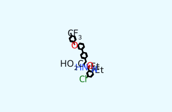 CCN(CC)c1ccc(Cl)cc1C(=O)NC(Cc1ccc(-c2cccc(Oc3ccc(C(F)(F)F)cc3)c2)cc1)C(=O)O